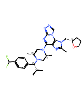 Cc1nc2c(N3C[C@@H](C)N([C@@H](c4ccc(C(F)F)cc4)C(C)C)C[C@@H]3C)nc3nncn3c2n1C[C@@H]1CCCO1